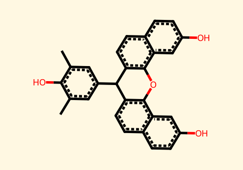 Cc1cc(C2c3ccc4ccc(O)cc4c3Oc3c2ccc2ccc(O)cc32)cc(C)c1O